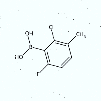 Cc1ccc(F)c(B(O)O)c1Cl